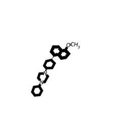 COc1cccc2c1cccc2[C@H]1CC[C@H](N2CCN(C3CCCCC3)CC2)CC1